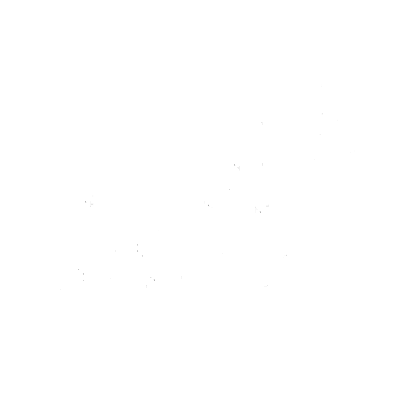 CCS(=O)(=O)N1CC(CC#N)(n2cc(-c3nc(Nc4ccc(S(C)(=O)=O)cc4)nc4sccc34)cn2)C1